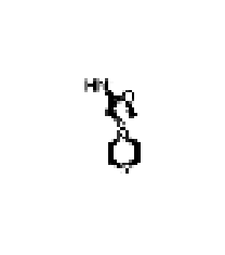 [NH-]c1c[n+](N2CCSCC2)no1